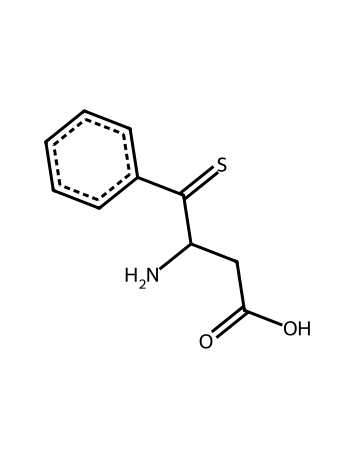 NC(CC(=O)O)C(=S)c1ccccc1